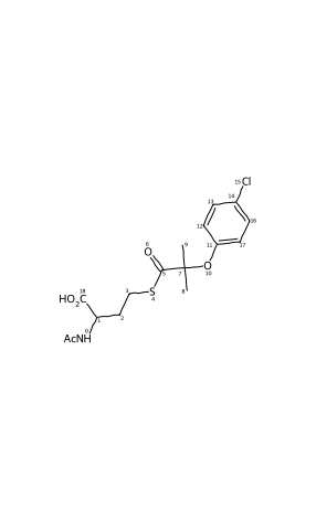 CC(=O)NC(CCSC(=O)C(C)(C)Oc1ccc(Cl)cc1)C(=O)O